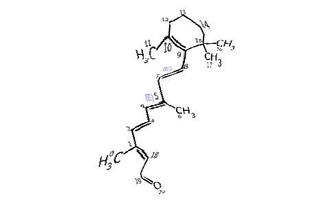 CC(C=C/C=C(C)/C=C/C1=C(C)CCCC1(C)C)=CC=O